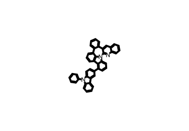 c1ccc(-n2c3ccccc3c3cc(-c4cccc5c4c4cccc6c4n5-c4nc5ccccc5cc4-c4ccccc4-6)ccc32)cc1